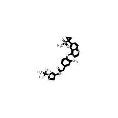 Cc1cc(CC(=O)Nc2cnn(C(C)(C)C)c2)ccc1Oc1ccnc2ccc(C3(S(C)(=O)=O)CC3)cc12